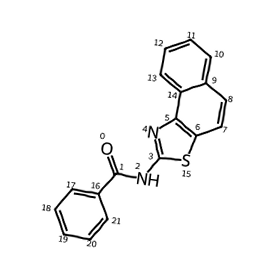 O=C(Nc1nc2c(ccc3ccccc32)s1)c1ccccc1